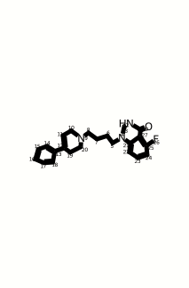 O=C1NCN(CCCCN2CC=C(c3ccccc3)CC2)c2cccc(F)c21